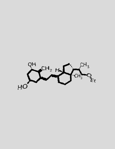 C=C1/C(=C\C=C2/CCC[C@]3(C)[C@@H]([C@H](C)COCC)CC[C@@H]23)C[C@@H](O)C[C@@H]1O